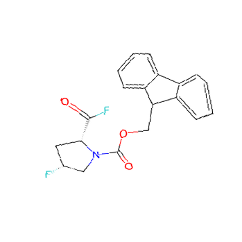 O=C(F)[C@H]1C[C@@H](F)CN1C(=O)OCC1c2ccccc2-c2ccccc21